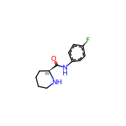 O=C(Nc1ccc(F)cc1)[C@@H]1CCCCN1